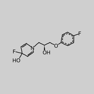 O[C@H](COc1ccc(F)cc1)CN1C=CC(O)(F)C=C1